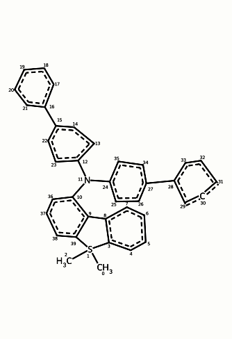 CS1(C)c2ccccc2-c2c(N(c3ccc(-c4ccccc4)cc3)c3ccc(-c4ccccc4)cc3)cccc21